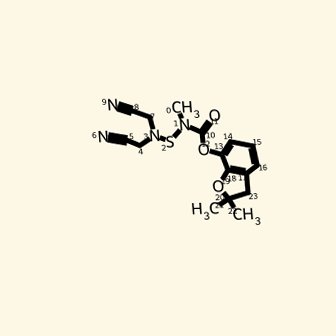 CN(SN(CC#N)CC#N)C(=O)Oc1cccc2c1OC(C)(C)C2